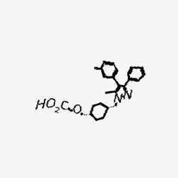 Cc1cccc(-c2c(-c3ccccc3)nn(C[C@H]3CC[C@@H](COCC(=O)O)CC3)c2C)c1